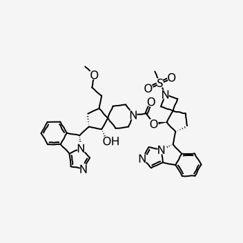 COCCC1C[C@@H]([C@H]2c3ccccc3-c3cncn32)[C@@H](O)C12CCN(C(=O)O[C@@H]1[C@@H]([C@@H]3c4ccccc4-c4cncn43)CCC13CN(S(C)(=O)=O)C3)CC2